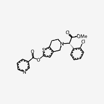 COC(=O)[C@H](c1ccccc1Cl)N1CCc2sc(OC(=O)c3cccnc3)cc2C1